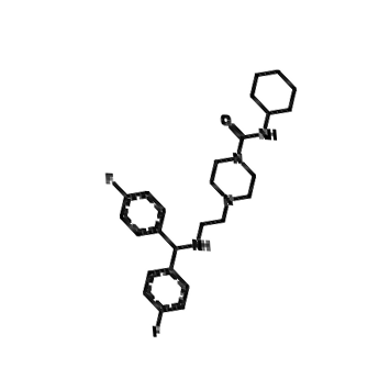 O=C(NC1CCCCC1)N1CCN(CCNC(c2ccc(F)cc2)c2ccc(F)cc2)CC1